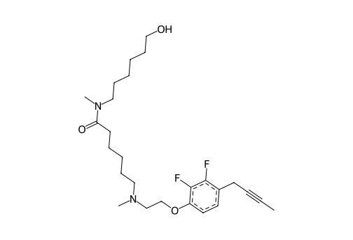 CC#CCc1ccc(OCCN(C)CCCCCC(=O)N(C)CCCCCCO)c(F)c1F